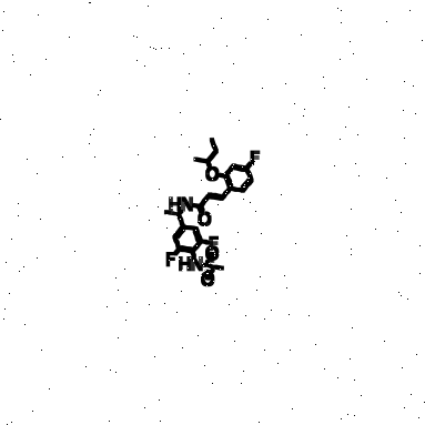 CCC(C)Oc1cc(F)ccc1C=CC(=O)N[C@H](C)c1cc(F)c(NS(C)(=O)=O)c(F)c1